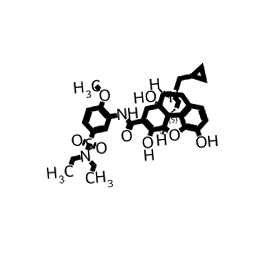 CCN(CC)S(=O)(=O)c1ccc(OC)c(NC(=O)C2=C(O)[C@@H]3Oc4c(O)ccc5c4[C@@]34CCN(CC3CC3)[C@H](C5)[C@]4(O)C2)c1